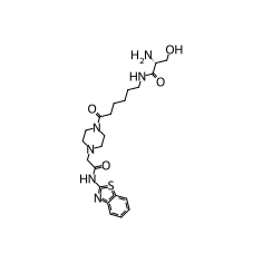 N[C@H](CO)C(=O)NCCCCCC(=O)N1CCN(CC(=O)Nc2nc3ccccc3s2)CC1